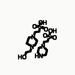 O=S(=O)(O)CCN1CCN(CCO)CC1.O=S(=O)(O)CCN1CCNCC1